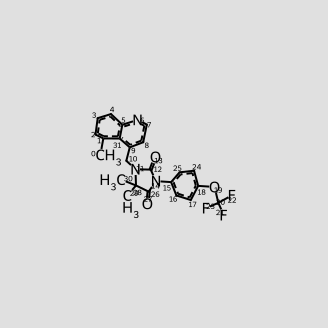 Cc1cccc2nccc(CN3C(=O)N(c4ccc(OC(F)(F)F)cc4)C(=O)C3(C)C)c12